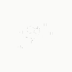 CC(C)(C)c1nc2ccc(Cl)c(S(=O)(=O)C3(F)CCNCC3)c2o1